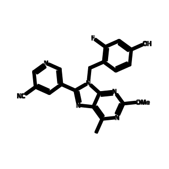 COc1nc(C)c2nc(-c3cncc(C#N)c3)n(Cc3ccc(O)cc3F)c2n1